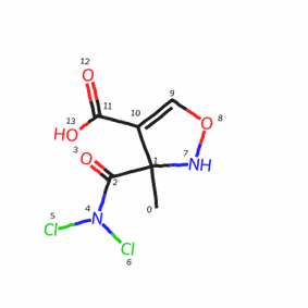 CC1(C(=O)N(Cl)Cl)NOC=C1C(=O)O